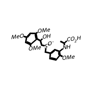 COc1cc(OC)c(C(O)C[S+]([O-])Cc2ccc(OC)c(NC(C)C(=O)O)c2)c(OC)c1